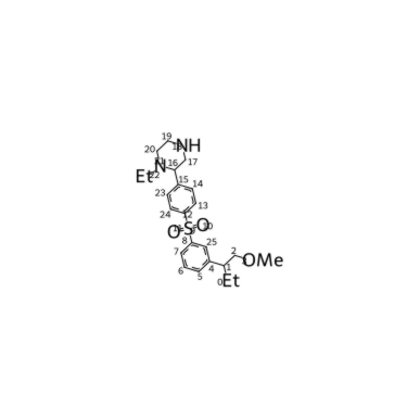 CCC(COC)c1cccc(S(=O)(=O)c2ccc(C3CNCCN3CC)cc2)c1